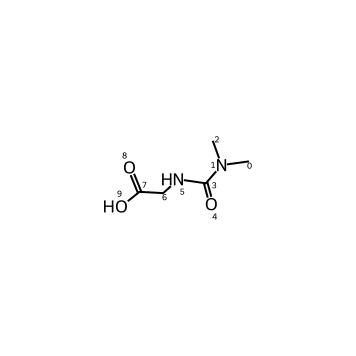 CN(C)C(=O)NCC(=O)O